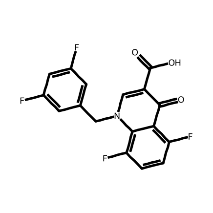 O=C(O)c1cn(Cc2cc(F)cc(F)c2)c2c(F)ccc(F)c2c1=O